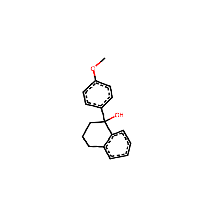 COc1ccc(C2(O)CCCc3ccccc32)cc1